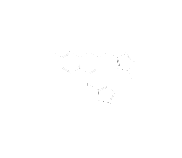 Cn1nnc(CSCc2nc(C(F)(F)F)ccc2C(=O)Nc2nnnn2C)n1